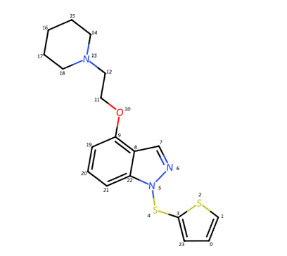 c1csc(Sn2ncc3c(OCCN4CCCCC4)cccc32)c1